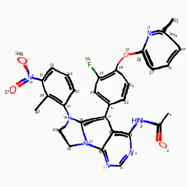 CC(=O)Nc1ncnc2c1c(-c1ccc(Oc3cccc(C)n3)c(F)c1)c1n2CCN1c1cccc([N+](=O)[O-])c1C